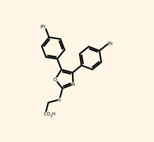 CC(C)c1ccc(-c2nc(SCC(=O)O)oc2-c2ccc(C(C)C)cc2)cc1